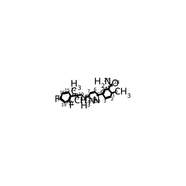 CC1C=CC(c2ccc(NCC(C)(C)c3ccc(F)cc3F)nn2)=CC1C(N)=O